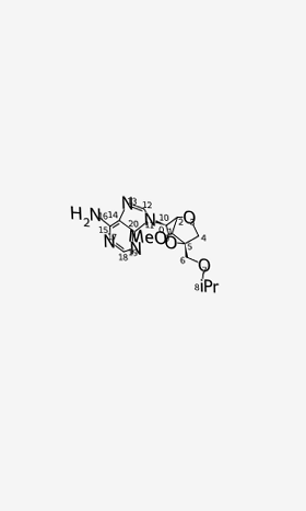 COC1C2OC[C@]1(COC(C)C)O[C@H]2n1cnc2c(N)ncnc21